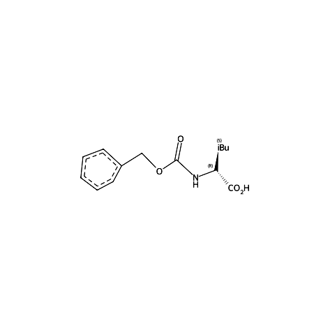 CC[C@H](C)[C@@H](NC(=O)OCc1ccccc1)C(=O)O